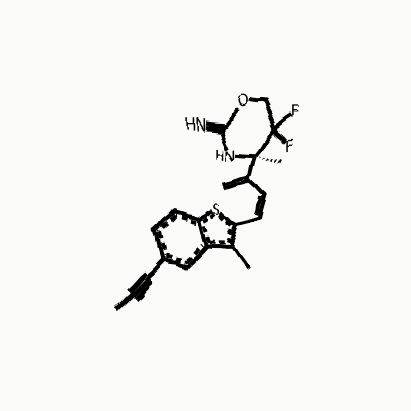 C=C(/C=C\c1sc2ccc(C#CC)cc2c1C)[C@@]1(C)NC(=N)OCC1(F)F